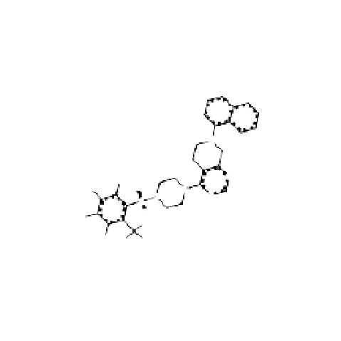 O=S(=O)(c1c(F)c(F)c(F)c(F)c1C(F)(F)F)N1CCN(c2ncnc3c2CCN(c2cccc4ccccc24)C3)CC1